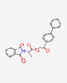 CC(C(=O)OCC(=O)c1ccc(-c2ccccc2)cc1)N1C(=O)c2ccccc2C1=O